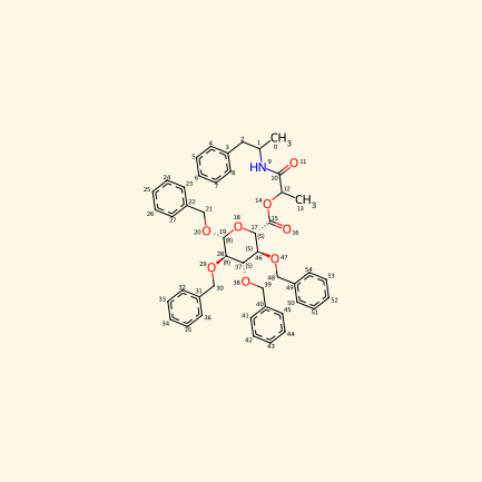 CC(Cc1ccccc1)NC(=O)C(C)OC(=O)[C@H]1O[C@@H](OCc2ccccc2)[C@H](OCc2ccccc2)[C@@H](OCc2ccccc2)[C@@H]1OCc1ccccc1